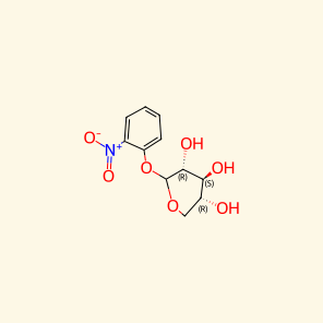 O=[N+]([O-])c1ccccc1OC1OC[C@@H](O)[C@H](O)[C@H]1O